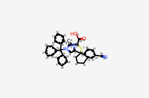 CCC(SC1(c2cn(C(c3ccccc3)(c3ccccc3)c3ccccc3)cn2)CCCc2cc(C#N)ccc21)C(=O)O